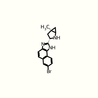 C[C@]12CC1N[C@H](c1nc3ccc4cc(Br)ccc4c3[nH]1)C2